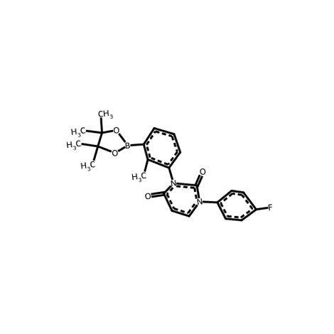 Cc1c(B2OC(C)(C)C(C)(C)O2)cccc1-n1c(=O)ccn(-c2ccc(F)cc2)c1=O